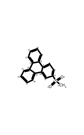 CS(=O)(=O)c1ccc2c3ccccc3c3ccccc3c2c1